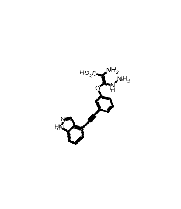 NN/C(Oc1cccc(C#Cc2cccc3[nH]ncc23)c1)=C(\N)C(=O)O